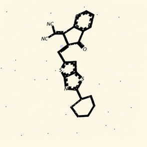 N#CC(C#N)=C1/C(=C/c2cc3sc(C4CCCCC4)nc3s2)C(=O)c2ccccc21